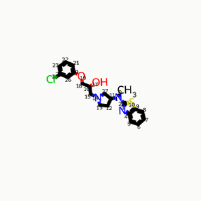 CN(c1nc2ccccc2s1)C1CCN(CC(O)COc2cccc(Cl)c2)C1